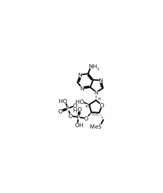 CSC[C@H]1O[C@@H](n2cnc3c(N)ncnc32)[C@H](O)[C@@H]1OP(=O)(O)OP(=O)(O)O